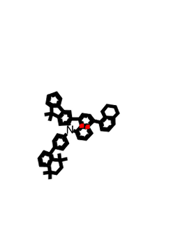 CC1(C)CCC(C)(C)c2c(-c3ccc(N(c4ccccc4)c4cc5c(cc4-c4ccc(-c6cccc7c6CCCC7)cc4)-c4ccccc4C5(C)C)cc3)cccc21